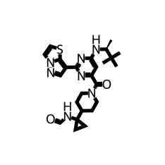 C[C@H](Nc1cc(C(=O)N2CCC(C3(NC=O)CC3)CC2)nc(-c2cnn3ccsc23)n1)C(C)(C)C